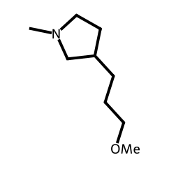 COCCCC1CCN(C)C1